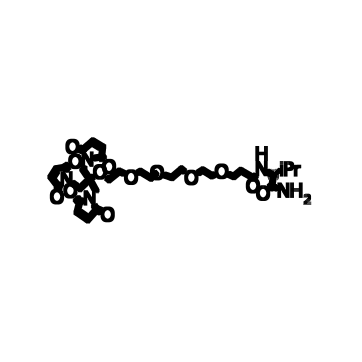 CC(C)[C@H](NC(=O)CCOCCOCCOCCOCCOC(CN1C(=O)C=CC1=O)(CN1C(=O)C=CC1=O)CN1C(=O)C=CC1=O)C(N)=O